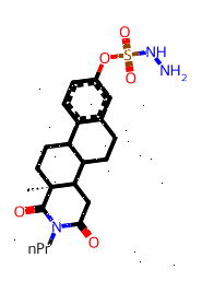 CCCN1C(=O)CC2C3CCc4cc(OS(=O)(=O)NN)ccc4C3CC[C@]2(C)C1=O